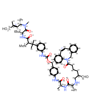 CNC(C(=O)N[C@H](C(=O)N(C)[C@H](/C=C(\C)C(=O)O)C(C)C)C(C)(C)C)C(C)(C)c1cccc(NC(=O)OCc2ccc(NC(=O)[C@H](C)NC(=O)[C@@H](NCC(C=O)CCCC(=O)N3Cc4ccccc4/C=C\c4ccccc43)C(C)C)cc2)c1